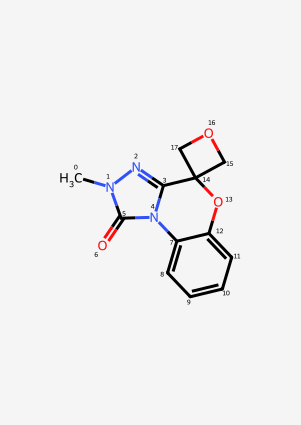 Cn1nc2n(c1=O)-c1ccccc1OC21COC1